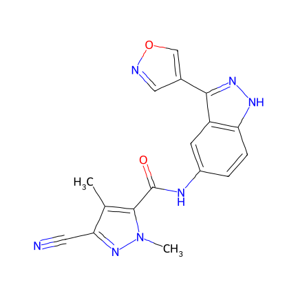 Cc1c(C#N)nn(C)c1C(=O)Nc1ccc2[nH]nc(-c3cnoc3)c2c1